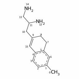 Cc1ccc2c(c1)CCC(CC(N)CN)=C2